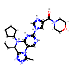 CC[C@@H]1c2nnc(C)n2-c2cnc(-n3cnc(C(=O)N4CCOCC4)c3)nc2N1C1CCCC1